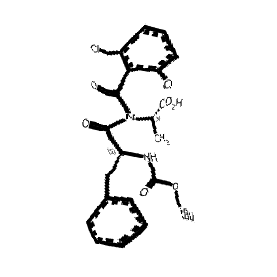 C[C@@H](C(=O)O)N(C(=O)c1c(Cl)cccc1Cl)C(=O)[C@H](Cc1ccccc1)NC(=O)OC(C)(C)C